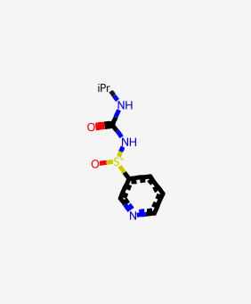 CC(C)NC(=O)N[S+]([O-])c1cccnc1